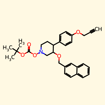 C#CCOc1ccc(C2CCN(OC(=O)OC(C)(C)C)CC2OCc2ccc3ccccc3c2)cc1